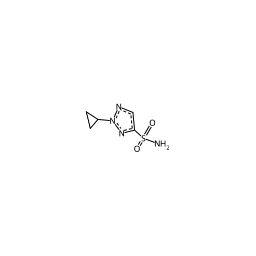 NS(=O)(=O)c1cnn(C2CC2)n1